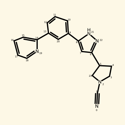 N#CN1CCC(c2cc(-c3cccc(-c4ccccn4)c3)[nH]n2)C1